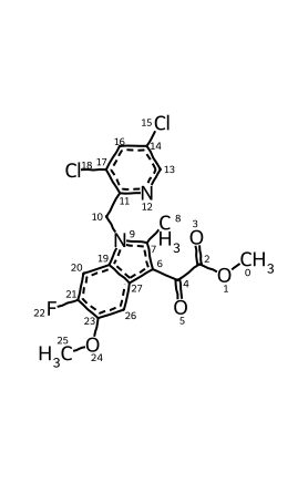 COC(=O)C(=O)c1c(C)n(Cc2ncc(Cl)cc2Cl)c2cc(F)c(OC)cc12